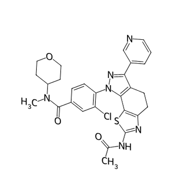 CC(=O)Nc1nc2c(s1)-c1c(c(-c3cccnc3)nn1-c1ccc(C(=O)N(C)C3CCOCC3)cc1Cl)CC2